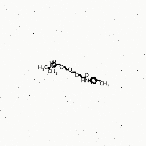 CCc1ccc(NC(=O)CCOCCOCCOCc2cn(C(C)C)nn2)cc1